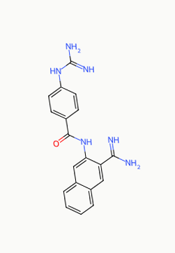 N=C(N)Nc1ccc(C(=O)Nc2cc3ccccc3cc2C(=N)N)cc1